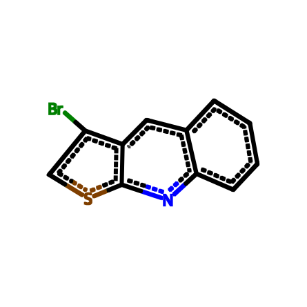 Brc1csc2nc3ccccc3cc12